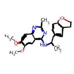 COc1cc2nc(C)nc(NC(C)c3ccc4c(c3)CCO4)c2cc1OC